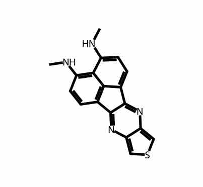 CNc1ccc2c3c(ccc(NC)c13)-c1nc3cscc3nc1-2